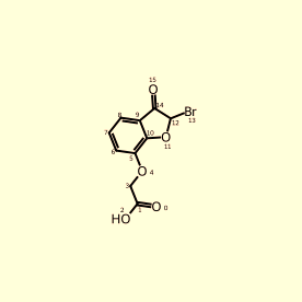 O=C(O)COc1cccc2c1OC(Br)C2=O